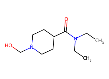 CCN(CC)C(=O)C1CCN(CO)CC1